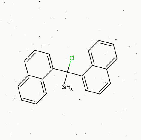 [SiH3]C(Cl)(c1cccc2ccccc12)c1cccc2ccccc12